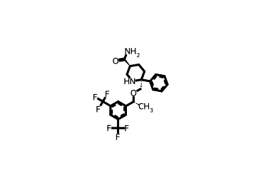 C[C@@H](OC[C@@]1(c2ccccc2)CC[C@H](C(N)=O)CN1)c1cc(C(F)(F)F)cc(C(F)(F)F)c1